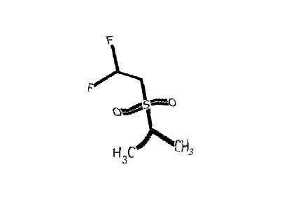 CC(C)S(=O)(=O)CC(F)F